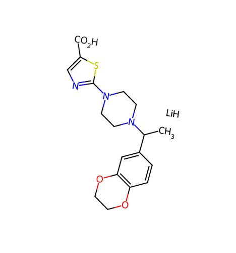 CC(c1ccc2c(c1)OCCO2)N1CCN(c2ncc(C(=O)O)s2)CC1.[LiH]